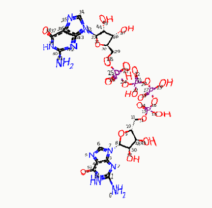 Nc1nc2c(ncn2[C@@H]2O[C@H](COP(=O)(O)OP(=O)(O)OP(=O)(O)OP(=O)(O)OC[C@H]3O[C@@H](n4cnc5c(=O)[nH]c(N)nc54)[C@H](O)[C@@H]3O)[C@@H](O)[C@H]2O)c(=O)[nH]1